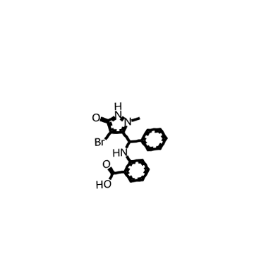 Cn1[nH]c(=O)c(Br)c1C(Nc1ccccc1C(=O)O)c1ccccc1